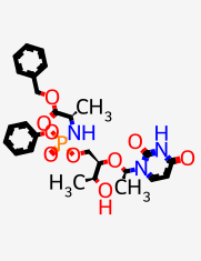 C[C@H](NP(=O)(OC[C@@H](O[C@H](C)n1ccc(=O)[nH]c1=O)[C@H](C)O)Oc1ccccc1)C(=O)OCc1ccccc1